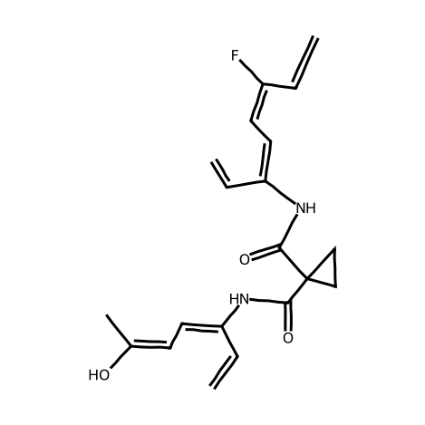 C=C/C(F)=C\C=C(/C=C)NC(=O)C1(C(=O)N/C(C=C)=C/C=C(\C)O)CC1